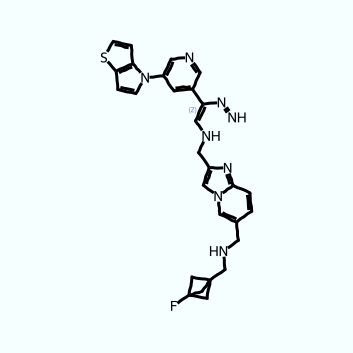 N=N/C(=C\NCc1cn2cc(CNCC34CC(F)(C3)C4)ccc2n1)c1cncc(-n2ccc3sccc32)c1